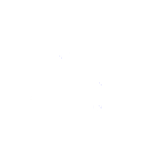 N/C(=C\C(/N=C/c1cccc(-c2ccc3c4ccccc4n(-c4ccc(-c5ccc6c(c5)sc5ccccc56)cc4)c3c2)c1)C1=CCCC=C1)c1ccccc1